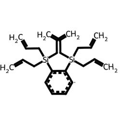 C=CC[Si](CC=C)(CC=C)c1[c]cccc1[Si](CC=C)(CC=C)CC=C